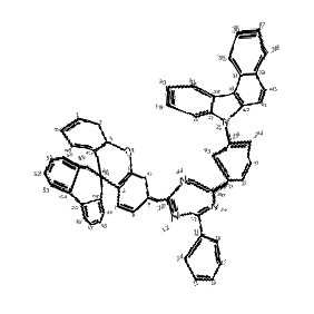 C1=CCC2OC3=C(C=CC(c4nc(-c5ccccc5)nc(-c5cccc(-n6c7ccccc7c7c8ccccc8ccc76)c5)n4)C3)C3(C2=C1)c1ccccc1-c1ccccc13